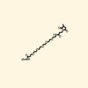 CCCNC(=O)CCOCCOCCOCCOCCOCCNC(=O)CCN1C(=O)CC(C)C1=O